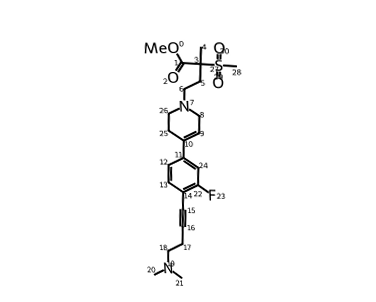 COC(=O)C(C)(CCN1CC=C(c2ccc(C#CCCN(C)C)c(F)c2)CC1)S(C)(=O)=O